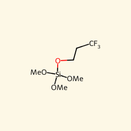 CO[Si](OC)(OC)OCCC(F)(F)F